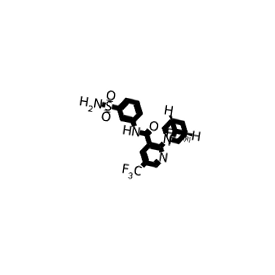 NS(=O)(=O)c1cccc(NC(=O)c2cc(C(F)(F)F)cnc2N2C[C@H]3C[C@@H](C2)C3(F)F)c1